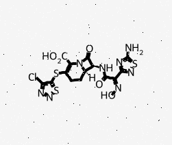 Nc1nc(/C(=N/O)C(=O)N[C@@H]2C(=O)N3C(C(=O)O)=C(Sc4snnc4Cl)CC[C@H]23)ns1